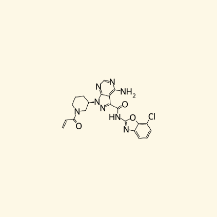 C=CC(=O)N1CCC[C@@H](n2nc(C(=O)Nc3nc4cccc(Cl)c4o3)c3c(N)ncnc32)C1